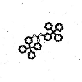 O=C(Oc1cccc(C(c2ccccc2)(c2ccccc2)c2ccccc2)c1)Oc1cccc(C(c2ccccc2)(c2ccccc2)c2ccccc2)c1